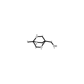 CC12COC(CO)(CO1)CO2